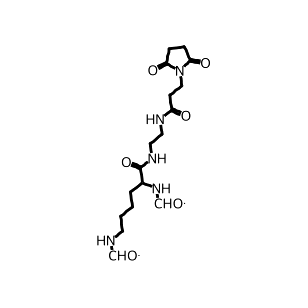 O=[C]NCCCCC(N[C]=O)C(=O)NCCNC(=O)CCN1C(=O)CCC1=O